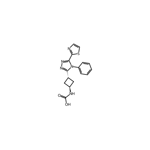 O=C(O)N[C@H]1C[C@H](c2nnc(-c3nccs3)n2-c2ccccc2)C1